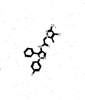 Cc1c(Cl)c(C(F)(F)F)nn1CC(=O)Nc1cnn(-c2ccc(F)cc2)c1-c1ccccc1